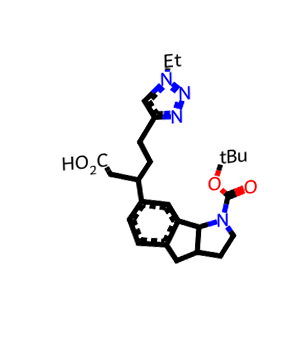 CCn1cc(CCC(CC(=O)O)c2ccc3c(c2)C2C(CCN2C(=O)OC(C)(C)C)C3)nn1